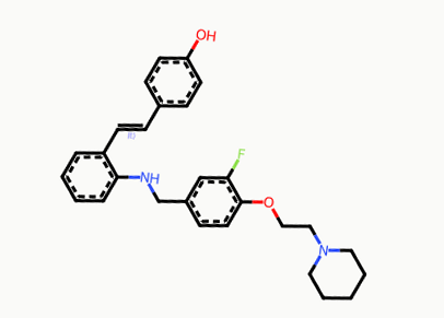 Oc1ccc(/C=C/c2ccccc2NCc2ccc(OCCN3CCCCC3)c(F)c2)cc1